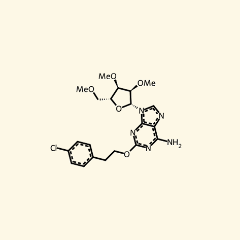 COC[C@H]1O[C@@H](n2cnc3c(N)nc(OCCc4ccc(Cl)cc4)nc32)[C@H](OC)[C@@H]1OC